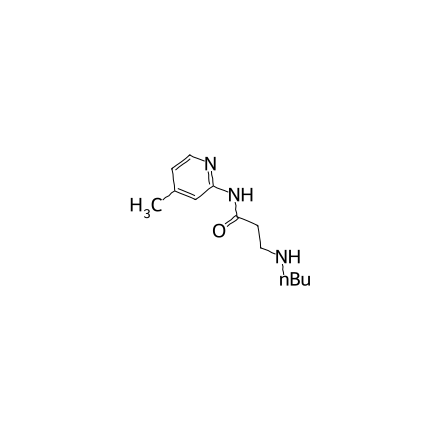 CCCCNCCC(=O)Nc1cc(C)ccn1